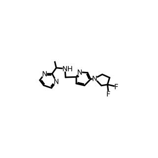 CC(NCc1ccc(N2CCC(F)(F)C2)cn1)c1ncccn1